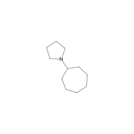 C1CCCC(N2CCCC2)CC1